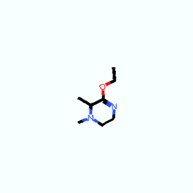 CCOC1=NCCN(C)C1C